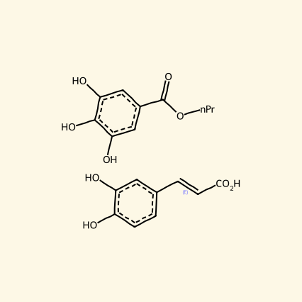 CCCOC(=O)c1cc(O)c(O)c(O)c1.O=C(O)/C=C/c1ccc(O)c(O)c1